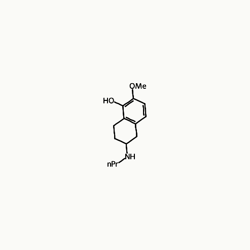 CCCNC1CCc2c(ccc(OC)c2O)C1